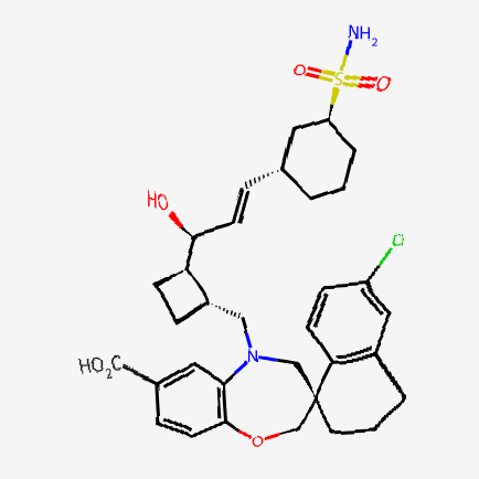 NS(=O)(=O)[C@H]1CCC[C@H](/C=C/[C@H](O)[C@@H]2CC[C@H]2CN2C[C@@]3(CCCc4cc(Cl)ccc43)COc3ccc(C(=O)O)cc32)C1